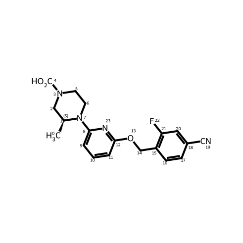 C[C@H]1CN(C(=O)O)CCN1c1cccc(OCc2ccc(C#N)cc2F)n1